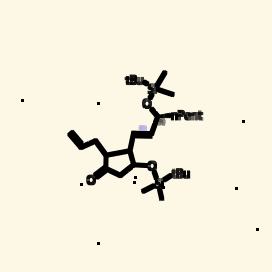 C=CCC1C(=O)CC(O[Si](C)(C)C(C)(C)C)C1/C=C/[C@H](CCCCC)O[Si](C)(C)C(C)(C)C